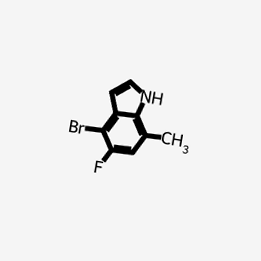 Cc1cc(F)c(Br)c2cc[nH]c12